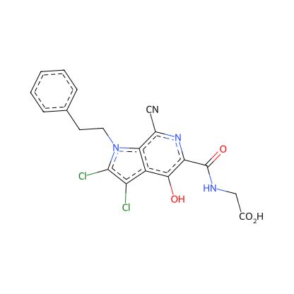 N#Cc1nc(C(=O)NCC(=O)O)c(O)c2c(Cl)c(Cl)n(CCc3ccccc3)c12